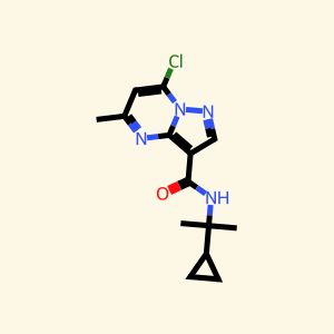 Cc1cc(Cl)n2ncc(C(=O)NC(C)(C)C3CC3)c2n1